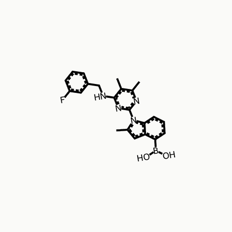 Cc1nc(-n2c(C)cc3c(B(O)O)cccc32)nc(NCc2cccc(F)c2)c1C